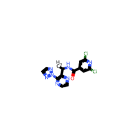 CC(NC(=O)c1cc(Cl)nc(Cl)c1)c1nccnc1-n1nccn1